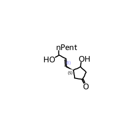 CCCCCC(O)/C=C/[C@@H]1CC(=O)CC1O